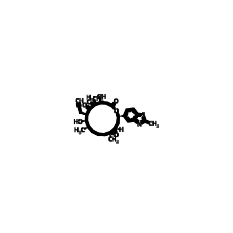 C#CC[C@H]1C(=O)C(C)(C)[C@@H](O)CC(=O)O[C@H](c2ccc3sc(C)nc3c2)C[C@H]2O[C@@]2(C)CCC[C@H](C)[C@@H]1O